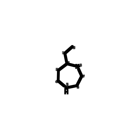 CCC1CCNCC[N]1